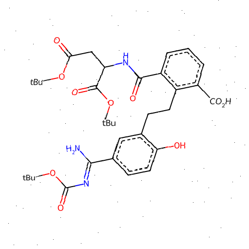 CC(C)(C)OC(=O)CC(NC(=O)c1cccc(C(=O)O)c1CCc1cc(C(N)=NC(=O)OC(C)(C)C)ccc1O)C(=O)OC(C)(C)C